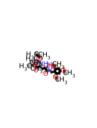 COc1cc(OC)c(CNC(=O)[C@H](O)C[C@H](NC(=O)OC(C)(C)C)C(=O)OC(C)(C)C)c(OC)c1